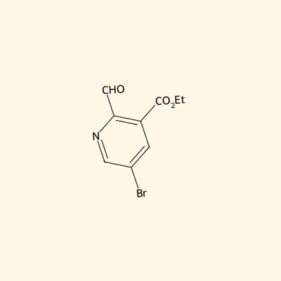 CCOC(=O)c1cc(Br)cnc1C=O